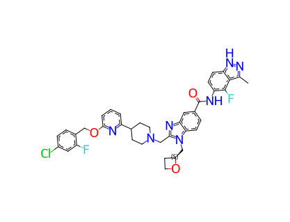 Cc1n[nH]c2ccc(NC(=O)c3ccc4c(c3)nc(CN3CCC(c5cccc(OCc6ccc(Cl)cc6F)n5)CC3)n4C[C@@H]3CCO3)c(F)c12